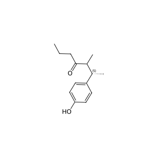 CCCC(=O)C(C)[C@H](C)c1ccc(O)cc1